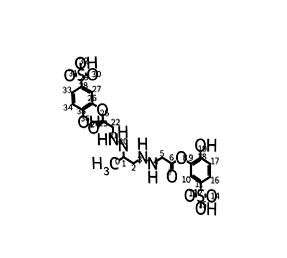 CC(CNNCC(=O)Oc1cc(S(=O)(=O)O)ccc1O)NNCC(=O)Oc1cc(S(=O)(=O)O)ccc1O